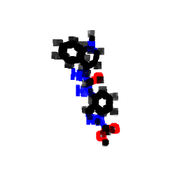 COC(=O)n1ncc2c(NC(=O)NC3CCN(C)c4ccccc43)cccc21